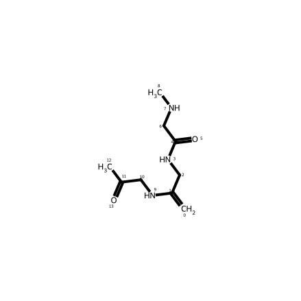 C=C(CNC(=O)CNC)NCC(C)=O